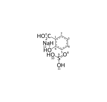 O=C(O)c1ccccc1O.O=S(O)O.[NaH]